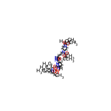 CCCCN(OS(=O)(=O)ON1C(=O)N2C[C@@H]1CC[C@H]2c1nnc(CCCN(C(=O)OC(C)(C)C)C2CCN(C(=O)OC(C)(C)C)CC2)o1)C(CCC)(CCCC)CCCC